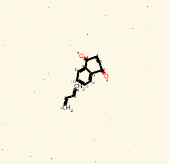 C=CC=C.O=C1C=CC(=O)c2ccccc21